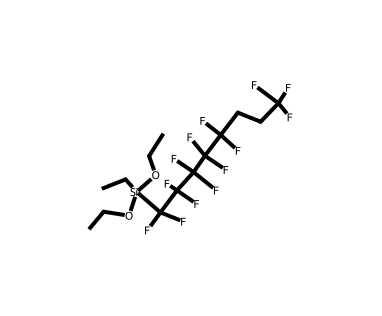 CCO[Si](CC)(OCC)C(F)(F)C(F)(F)C(F)(F)C(F)(F)C(F)(F)CCC(F)(F)F